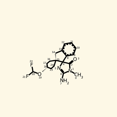 CN1C(=O)C2(N=C1N)c1ccccc1C[C@]21CC[C@@H](OC(F)F)CC1